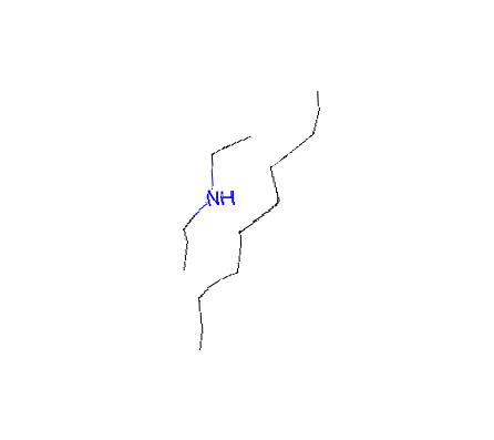 CCCCCCCC.CCNCC